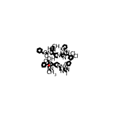 Cn1ccc(C2(CN(Cc3ccccc3)C(=O)O)C3CCN(c4cnc5c(I)nn(C6CCCCO6)c5n4)CC32)n1.Cn1ccc(C2(CNC(=O)OCc3ccccc3)C3CCN(c4cnc5c(-c6cccc(Cl)c6Cl)nn(C6CCCCO6)c5n4)CC32)n1